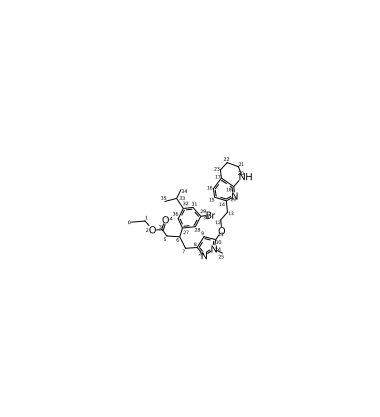 CCOC(=O)CC(Cc1cc(OCCc2ccc3c(n2)NCCC3)n(C)n1)c1cc(Br)cc(C(C)C)c1